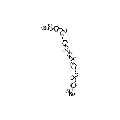 CC(C)(C)[Si](C)(C)Oc1ccc(CC(=O)OCCC2CCN(CC(=O)N3CCN(C(=O)CN4CCC(CCOC(=O)Cc5ccc(O[Si](C)(C)C(C)(C)C)cc5)CC4)CC3)CC2)cc1